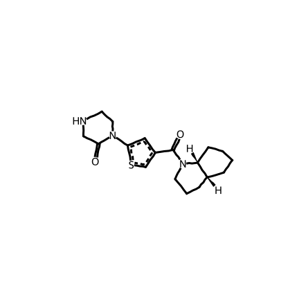 O=C1CNCCN1c1cc(C(=O)N2CCC[C@H]3CCCC[C@H]32)cs1